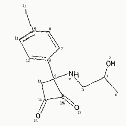 CC(O)CNC1(c2ccc(I)cc2)CC(=O)C1=O